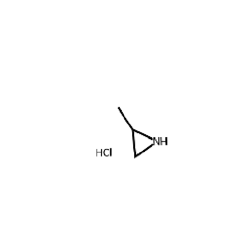 CC1CN1.Cl